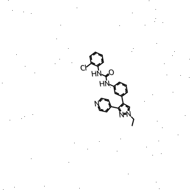 CCn1cc(-c2cccc(NC(=O)Nc3ccccc3Cl)c2)c(-c2ccncc2)n1